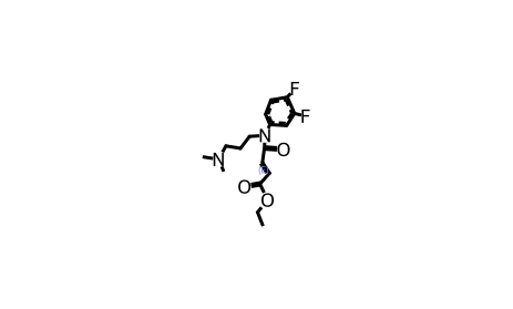 CCOC(=O)/C=C/C(=O)N(CCCN(C)C)c1ccc(F)c(F)c1